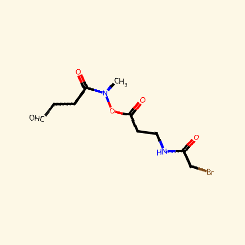 CN(OC(=O)CCNC(=O)CBr)C(=O)CCC=O